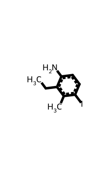 CCc1c(N)ccc(I)c1C